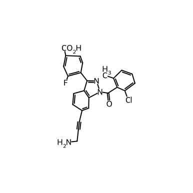 Cc1cccc(Cl)c1C(=O)n1nc(-c2ccc(C(=O)O)cc2F)c2ccc(C#CCN)cc21